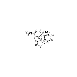 CC12CC=C(N)C=C1C1(CCCC1)c1ccccc12